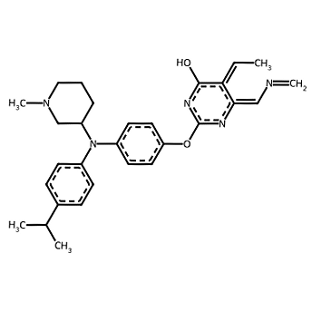 C=N/C=c1/nc(Oc2ccc(N(c3ccc(C(C)C)cc3)C3CCCN(C)C3)cc2)nc(O)/c1=C/C